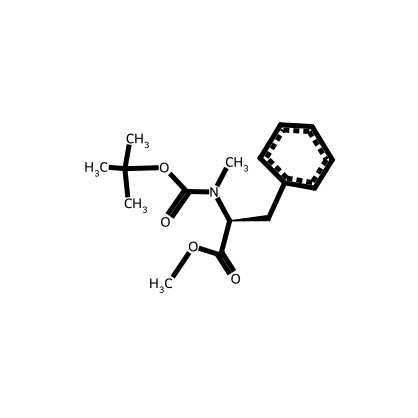 COC(=O)[C@H](Cc1ccccc1)N(C)C(=O)OC(C)(C)C